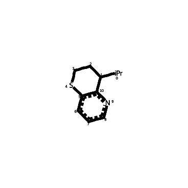 CC(C)C1CCSc2cccnc21